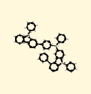 c1ccc(-c2cccc3c2c2cc(N(c4ccccc4)c4ccc(-c5ccc6c7ccccc7n(-c7ccccc7)c6c5)cc4)ccc2n3-c2ccccc2)cc1